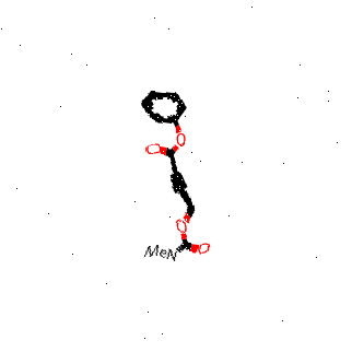 CNC(=O)OCC#CC(=O)Oc1ccccc1